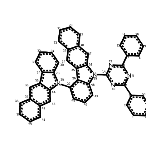 c1ccc(-c2nc(-c3ccccc3)nc(-n3c4cc5ccccc5cc4c4c(-n5c6ccccc6c6cc7ccccc7cc65)cccc43)n2)cc1